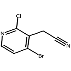 N#CCc1c(Br)ccnc1Cl